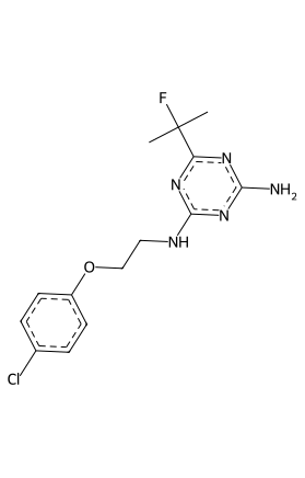 CC(C)(F)c1nc(N)nc(NCCOc2ccc(Cl)cc2)n1